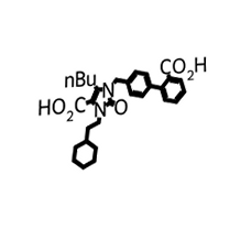 CCCCc1c(C(=O)O)n(CCC2CCCCC2)c(=O)n1Cc1ccc(-c2ccccc2C(=O)O)cc1